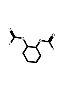 O=C(F)OC1CCCCC1OC(=O)F